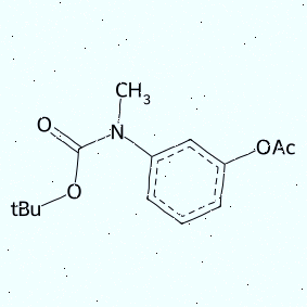 CC(=O)Oc1cccc(N(C)C(=O)OC(C)(C)C)c1